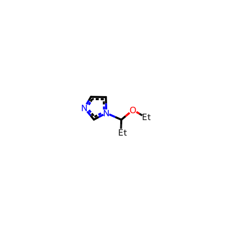 CCOC(CC)n1ccnc1